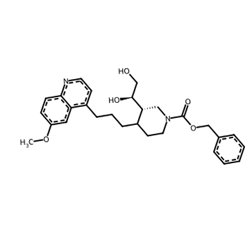 COc1ccc2nccc(CCCC3CCN(C(=O)OCc4ccccc4)C[C@H]3[C@@H](O)CO)c2c1